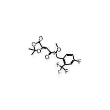 CON(Cc1ccc(F)cc1C(F)(F)F)C(=O)/C=C1\OC(C)(C)OC1=O